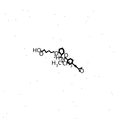 [2H]C(c1ccccc1OCCCCCC(=O)O)N(C(=O)c1ccc(C#CC2COC2)cc1)C(C)C